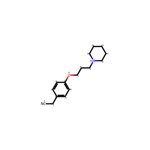 N#CCc1ccc(OCCCN2CCCCC2)cc1